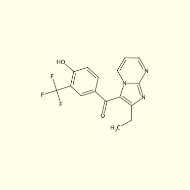 CCc1nc2ncccn2c1C(=O)c1ccc(O)c(C(F)(F)F)c1